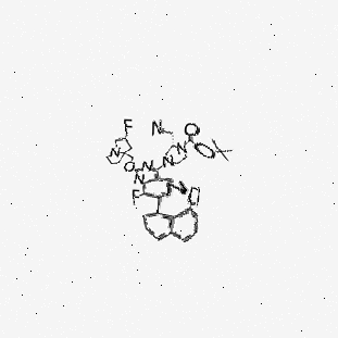 CC(C)(C)OC(=O)N1CCN(c2nc(OC[C@@]34CCCN3C[C@H](F)C4)nc3c(F)c(-c4cccc5cccc(Cl)c45)ncc23)C[C@@H]1CC#N